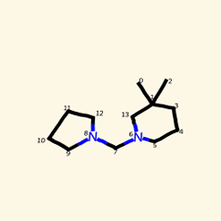 CC1(C)CCCN(CN2CCCC2)C1